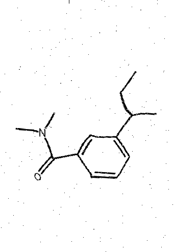 CCC(C)c1cccc(C(=O)N(C)C)c1